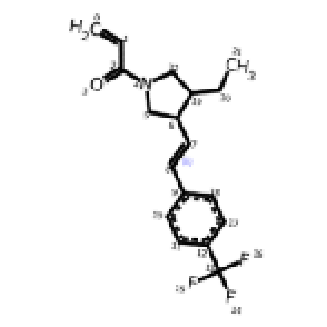 C=CC(=O)N1CC(/C=C/c2ccc(C(F)(F)F)cc2)C(CC)C1